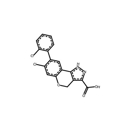 O=C(O)c1n[nH]c2c1COc1cc(Cl)c(-c3ccccc3Cl)cc1-2